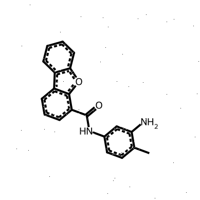 Cc1ccc(NC(=O)c2cccc3c2oc2ccccc23)cc1N